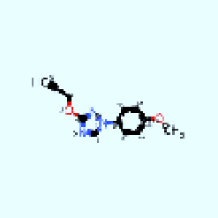 C#CCOc1ncn(-c2ccc(OC)cc2)n1